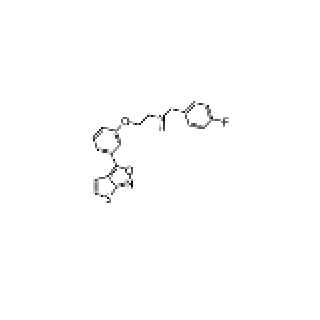 Fc1ccc(CNCCOc2cccc(-c3onc4sccc34)c2)cc1